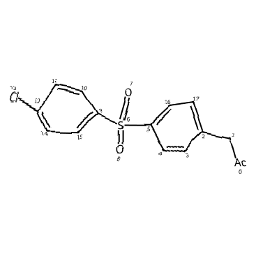 CC(=O)Cc1ccc(S(=O)(=O)c2ccc(Cl)cc2)cc1